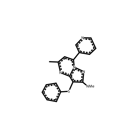 CNc1nn2c(-c3cccnc3)cc(C)nc2c1Sc1ccccc1